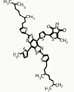 Cc1ccc(-c2c3nc(-c4ccc(CCC(C)CCCC(C)C)s4)sc3c(-c3ccc(-c4sc(C)c5c4C(=O)NC5=O)s3)c3nc(-c4ccc(CCC(C)CCCC(C)C)s4)sc23)s1